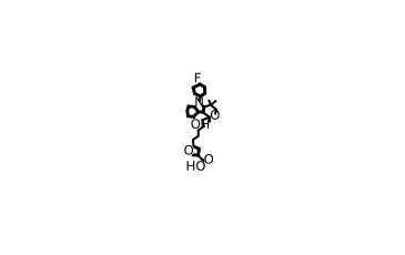 CC1(C)COC(C)(CCCCCc2cc(C(=O)O)co2)c2c1n(-c1ccc(F)cc1)c1cccc(O)c21